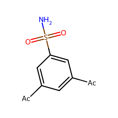 CC(=O)c1cc(C(C)=O)cc(S(N)(=O)=O)c1